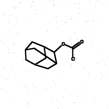 O=C(Cl)OC1C2CC3CC(C2)CC1C3